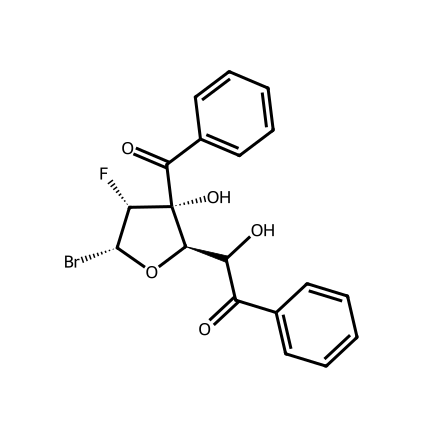 O=C(c1ccccc1)C(O)[C@H]1O[C@H](Br)[C@H](F)[C@@]1(O)C(=O)c1ccccc1